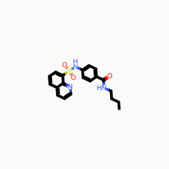 CCCCNC(=O)c1ccc(NS(=O)(=O)c2cccc3cccnc23)cc1